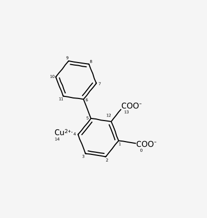 O=C([O-])c1cccc(-c2ccccc2)c1C(=O)[O-].[Cu+2]